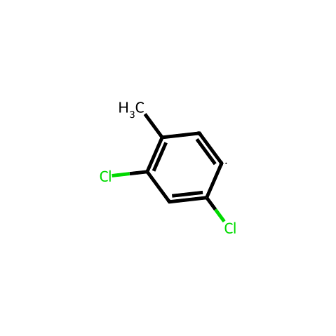 Cc1c[c]c(Cl)cc1Cl